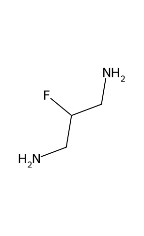 NCC(F)CN